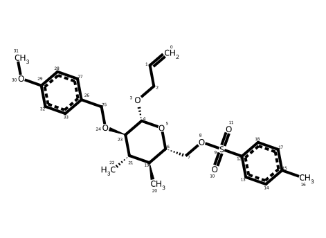 C=CCO[C@@H]1O[C@H](COS(=O)(=O)c2ccc(C)cc2)[C@@H](C)[C@H](C)[C@H]1OCc1ccc(OC)cc1